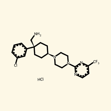 Cl.NC[C@]1(c2cccc(Cl)c2)CC[C@H](N2CCN(c3nccc(C(F)(F)F)n3)CC2)CC1